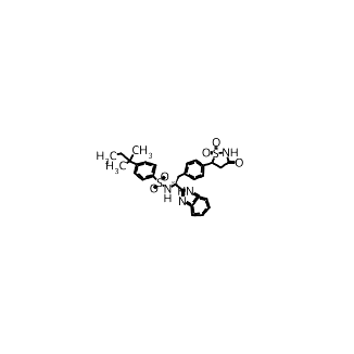 CCC(C)(C)c1ccc(S(=O)(=O)N[C@@H](Cc2ccc(C3CC(=O)NS3(=O)=O)cc2)c2nc3ccccc3[nH]2)cc1